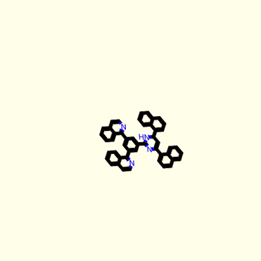 C1=C(c2cccc3ccccc23)N=C(c2cc(-c3nccc4ccccc34)cc(-c3nccc4ccccc34)c2)NC1c1cccc2ccccc12